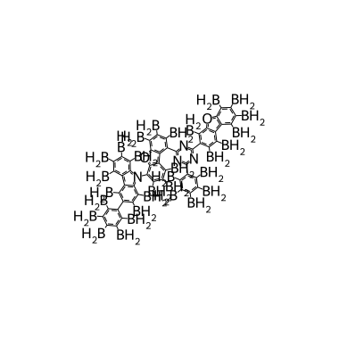 Bc1c(B)c(B)c(-c2nc(-c3c(B)c(B)c4c(oc5c(B)c(B)c(B)c(B)c54)c3B)nc(-c3c(B)c(B)c(B)c4oc5c(-n6c7c(B)c(B)c(B)c(B)c7c7c(B)c(-c8c(B)c(B)c(B)c(B)c8B)c(B)c(B)c76)c(B)c(B)c(B)c5c34)n2)c(B)c1B